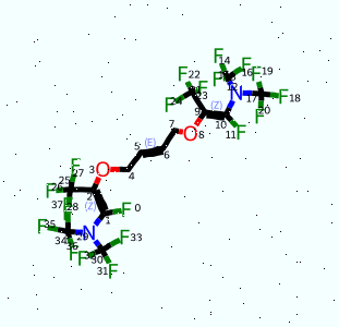 F/C(=C(\OC/C=C/CO/C(=C(\F)N(C(F)(F)F)C(F)(F)F)C(F)(F)F)C(F)(F)F)N(C(F)(F)F)C(F)(F)F